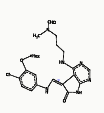 CCCCCCOc1cc(N/C=C2\C(=O)Nc3ncnc(NCCCN(C)C=O)c32)ccc1Cl